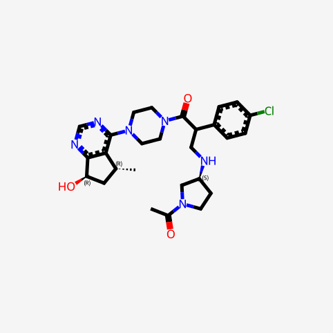 CC(=O)N1CC[C@H](NCC(C(=O)N2CCN(c3ncnc4c3[C@H](C)C[C@H]4O)CC2)c2ccc(Cl)cc2)C1